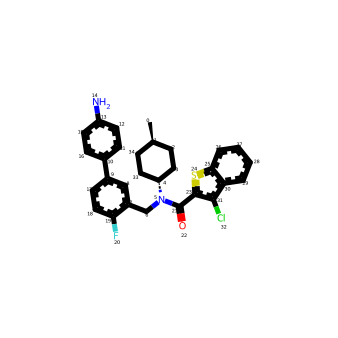 C[C@H]1CC[C@H](N(Cc2cc(-c3ccc(N)cc3)ccc2F)C(=O)c2sc3ccccc3c2Cl)CC1